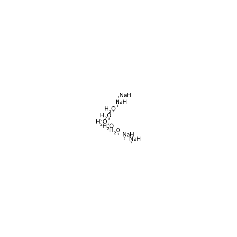 O.O.O.O.O.[NaH].[NaH].[NaH].[NaH]